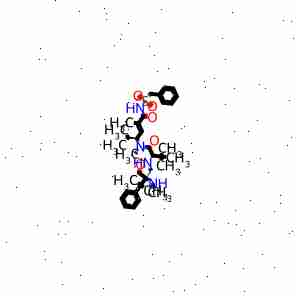 CN[C@@](C=O)(CN[C@H](C(=O)N(C)[C@H](/C=C(\C)C(=O)NS(=O)(=O)Cc1ccccc1)C(C)C)C(C)(C)C)C(C)(C)c1ccccc1